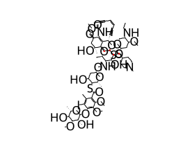 CC#C/C=C\C#C[C@H](O[C@@H]1O[C@H](C)[C@@H](NO[C@H]2C[C@H](O)[C@H](SC(=O)c3c(C)c(I)c(O[C@@H]4O[C@@H](C)[C@H](O)[C@@H](OC)[C@H]4O)c(OC)c3OC)[C@@H](C)O2)[C@H](O)[C@H]1O[C@H]1C[C@H](OC)[C@@H](NCC)CO1)C1=C(NC(=O)OC)C(=O)C[C@](C)(O)/C1=C/CSSC1CCN(C)CC1